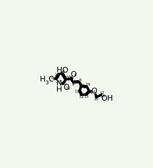 Cc1cc(O)c(C(=O)C=Cc2cccc(OCCO)c2)c(=O)[nH]1